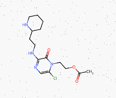 CC(=O)OCCn1c(Cl)cnc(NCCC2CCCCN2)c1=O